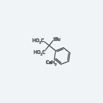 CC(C)(C)C(C(=O)O)(C(=O)O)c1ccccc1.[CaH2]